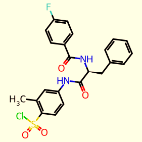 Cc1cc(NC(=O)[C@H](Cc2ccccc2)NC(=O)c2ccc(F)cc2)ccc1S(=O)(=O)Cl